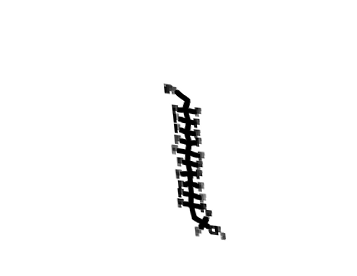 CC(C)CC(F)(F)C(F)(F)C(F)(F)C(F)(F)C(F)(F)C(F)(F)C(F)(F)C(F)(F)C(F)(F)C(F)(F)CC(F)(F)C(F)(F)F